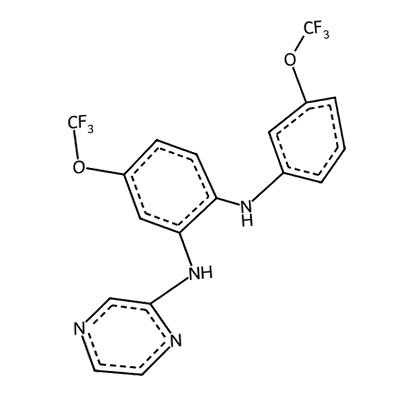 FC(F)(F)Oc1cccc(Nc2ccc(OC(F)(F)F)cc2Nc2cnccn2)c1